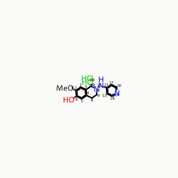 COc1cc2c(cc1O)CCN(Nc1ccncc1)C2.Cl.Cl